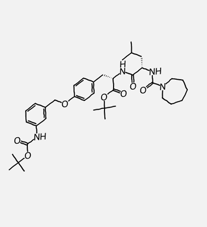 CC(C)C[C@H](NC(=O)N1CCCCCC1)C(=O)N[C@@H](Cc1ccc(OCc2cccc(NC(=O)OC(C)(C)C)c2)cc1)C(=O)OC(C)(C)C